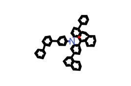 c1ccc(-c2ccc(N(c3ccc(-c4cccc(-c5ccccc5)c4)cc3)c3cc(-c4cccc5ccccc45)ccc3-c3cccc4ccccc34)cc2)cc1